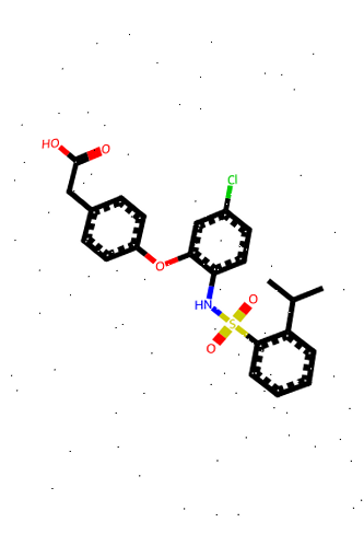 CC(C)c1ccccc1S(=O)(=O)Nc1ccc(Cl)cc1Oc1ccc(CC(=O)O)cc1